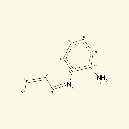 C/C=C\C=N/c1ccccc1N